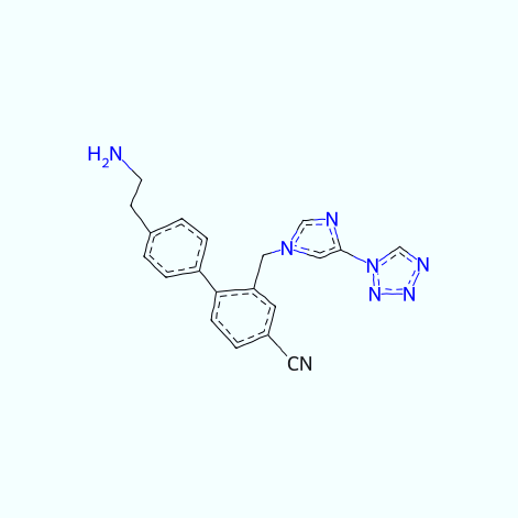 N#Cc1ccc(-c2ccc(CCN)cc2)c(Cn2cnc(-n3cnnn3)c2)c1